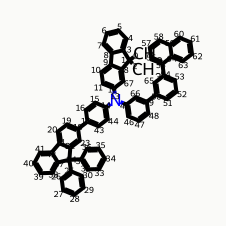 CC1(C)c2ccccc2-c2ccc(N(c3ccc(-c4ccc5c(c4)C(c4ccccc4)(c4ccccc4)c4ccccc4-5)cc3)c3cccc(-c4cccc(-c5cccc6ccccc56)c4)c3)cc21